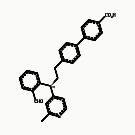 Cc1cc([C@@H](CCc2ccc(-c3ccc(C(=O)O)cc3)cc2)c2ccccc2C=O)ccn1